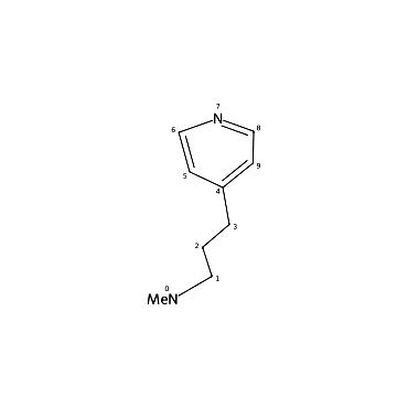 CNCCCc1ccncc1